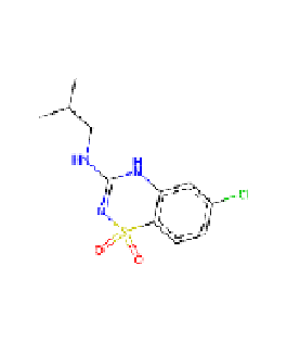 CC(C)CNC1=NS(=O)(=O)c2ccc(Cl)cc2N1